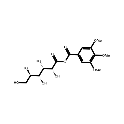 COc1cc(C(=O)OC(=O)[C@H](O)[C@@H](O)[C@H](O)[C@H](O)CO)cc(OC)c1OC